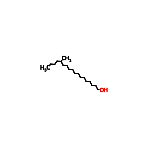 CCCCC(C)CCCCCCCCCCCCCO